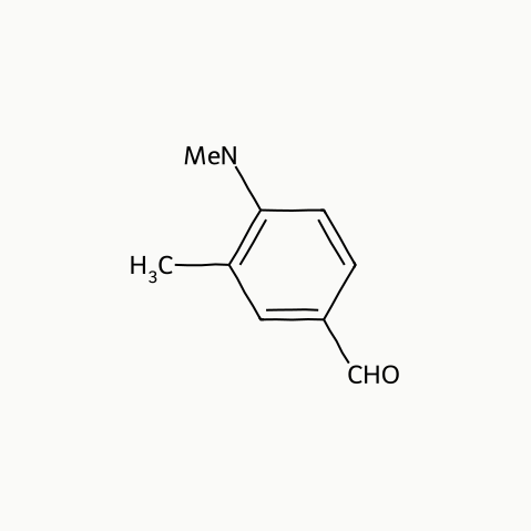 CNc1ccc(C=O)cc1C